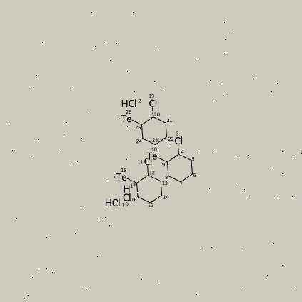 Cl.Cl.Cl.ClC1CCCCC1[Te].ClC1CCCCC1[Te].ClC1CCCCC1[Te]